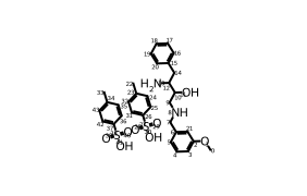 COc1cccc(CNCC(O)C(N)Cc2ccccc2)c1.Cc1ccc(S(=O)(=O)O)cc1.Cc1ccc(S(=O)(=O)O)cc1